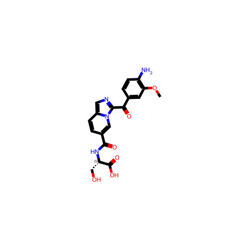 COc1cc(C(=O)c2ncc3ccc(C(=O)N[C@@H](CO)C(=O)O)cn23)ccc1N